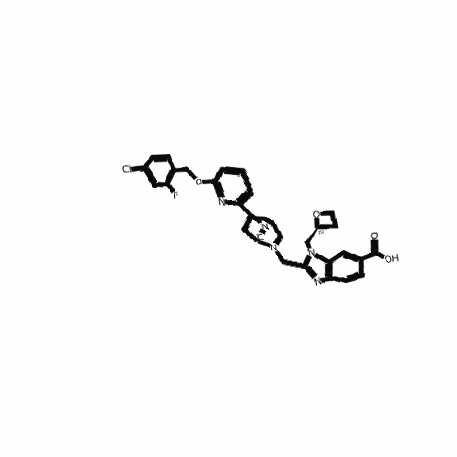 O=C(O)c1ccc2nc(CN3CC4CCC3CN4c3cccc(OCc4ccc(Cl)cc4F)n3)n(C[C@@H]3CCO3)c2c1